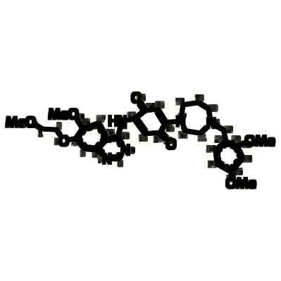 COCCOc1cc2ncnc(NC3=CC(=O)C(N4CCCN(Cc5ccc(OC)cc5OC)CC4)=CC3=O)c2cc1OC